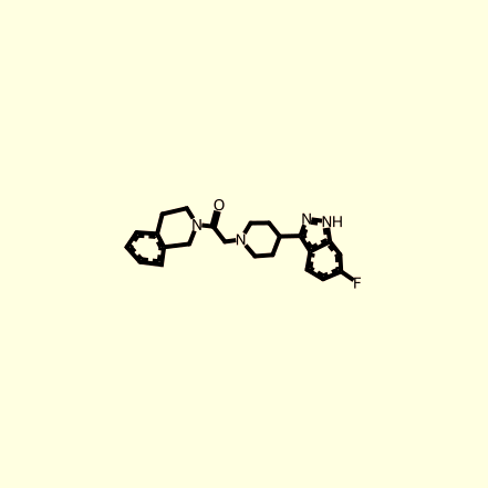 O=C(CN1CCC(c2n[nH]c3cc(F)ccc23)CC1)N1CCc2ccccc2C1